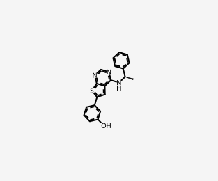 C[C@@H](Nc1ncnc2sc(-c3cccc(O)c3)cc12)c1ccccc1